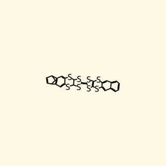 C1=CC2CC1c1cc3c(cc12)SC1SC(=C2SC4=C(S2)Sc2cc5ccccc5cc2S4)SC1S3